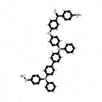 CC(C)Oc1ccc(N(c2ccccc2)c2ccc(-c3ccc(N(c4ccccc4)c4ccc(Oc5ccc(C(=O)c6ccc(C(C)(C)C)cc6)cc5)cc4)cc3)cc2)cc1